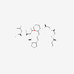 COC(=O)[C@@H](NC(=O)[C@H](NC(=O)[C@@H]1CCCC1CCCC1CCC[C@H](O)[C@H]1NC(=O)[C@H](C)NC(=O)[C@H](C)NC(=O)[C@@H](N)CO)C(C)C)C(C)C